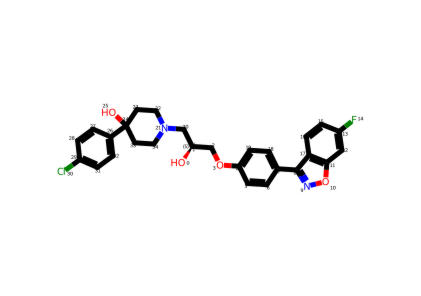 O[C@H](COc1ccc(-c2noc3cc(F)ccc23)cc1)CN1CCC(O)(c2ccc(Cl)cc2)CC1